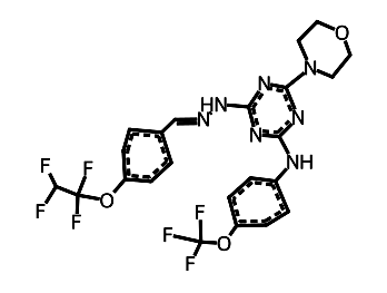 FC(F)C(F)(F)Oc1ccc(C=NNc2nc(Nc3ccc(OC(F)(F)F)cc3)nc(N3CCOCC3)n2)cc1